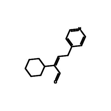 O=CC(=CCc1ccncc1)C1CCCCC1